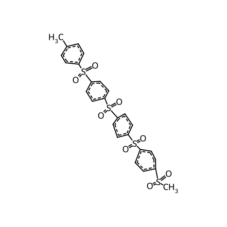 Cc1ccc(S(=O)(=O)c2ccc(S(=O)(=O)c3ccc(S(=O)(=O)c4ccc(S(C)(=O)=O)cc4)cc3)cc2)cc1